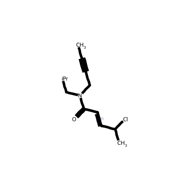 CC#CCN(CC(C)C)C(=O)/C=C/C(C)Cl